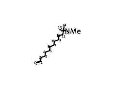 [CH]=CCCCCCCCCCCC(C)(C)NC